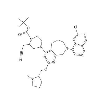 CN1CCC[C@H]1COc1nc2c(c(N3CCN(C(=O)OC(C)(C)C)C(CC#N)C3)n1)CCCN(c1cccc3ccc(Cl)cc13)C2